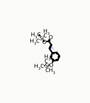 C[Si](C)(C)OC(=O)/C=C/c1cccc(O[Si](C)(C)C)c1